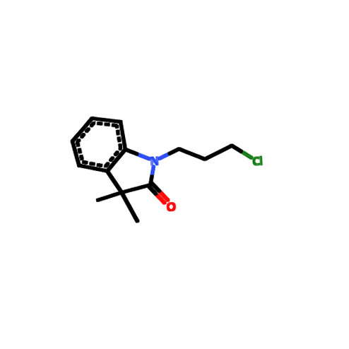 CC1(C)C(=O)N(CCCCl)c2ccccc21